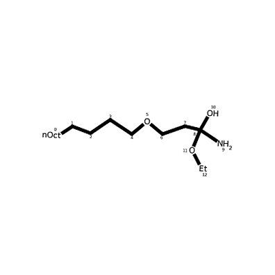 CCCCCCCCCCCCOCCC(N)(O)OCC